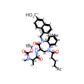 COc1ccc2cc(C(=O)O)ccc2c1CN1C(=O)C(NC(=O)C(C)N(C)C(=O)OC(C)(C)C)CN(C(=O)CCCC(C)=O)c2ccccc21